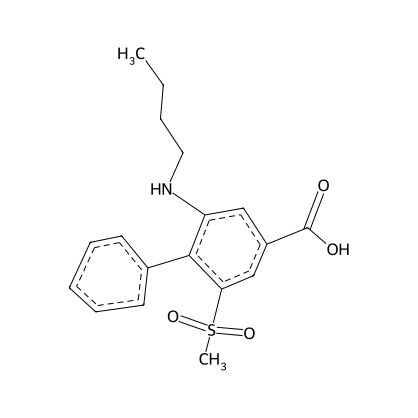 CCCCNc1cc(C(=O)O)cc(S(C)(=O)=O)c1-c1ccccc1